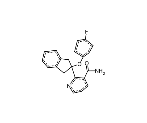 NC(=O)c1cccnc1C1(Oc2ccc(F)cc2)Cc2ccccc2C1